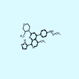 CSNc1ccc(-c2cc(N3CCOCC3C)nc3c(-c4ccn[nH]4)ncc(C)c23)cc1